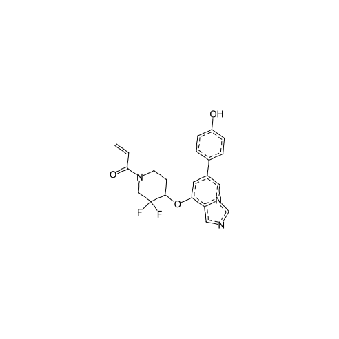 C=CC(=O)N1CCC(Oc2cc(-c3ccc(O)cc3)cn3cncc23)C(F)(F)C1